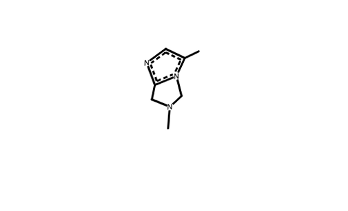 Cc1cnc2n1CN(C)C2